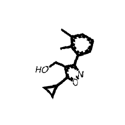 Cc1cccc(-c2noc(C3CC3)c2CO)c1C